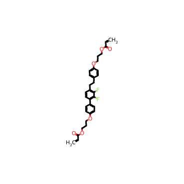 C=CC(=O)OCCCOc1ccc(CCc2ccc(-c3ccc(OCCCOC(=O)C=C)cc3)c(F)c2F)cc1